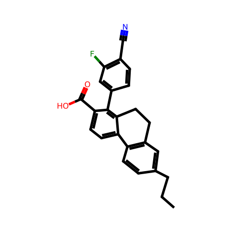 CCCc1ccc2c(c1)CCc1c-2ccc(C(=O)O)c1-c1ccc(C#N)c(F)c1